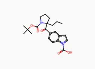 CCCC1(C(=O)c2ccc3c(ccn3C(=O)O)c2)CCCN1C(=O)OC(C)(C)C